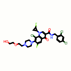 O=C(NCc1ccc(Cl)cc1Cl)c1cn(C2CC2F)c2c(Cl)c(N3CCN(CCOCCO)CC3)c(F)cc2c1=O